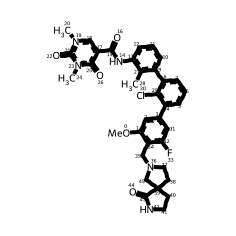 COc1cc(-c2cccc(-c3cccc(NC(=O)c4cn(C)c(=O)n(C)c4=O)c3C)c2Cl)cc(F)c1CN1CCC2(CCNC2=O)C1